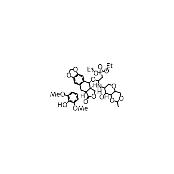 CCOP(=O)(CC(NC1COC2COC(C)OC2C1O)O[C@@H]1c2cc3c(cc2[C@@H](c2cc(OC)c(O)c(OC)c2)[C@H]2C(=O)OC[C@@H]21)OCO3)OCC